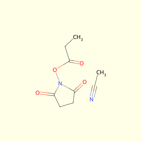 CC#N.CCC(=O)ON1C(=O)CCC1=O